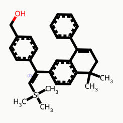 CC1(C)CC=C(c2ccccc2)c2cc(/C(=C\[Si](C)(C)C)c3ccc(CO)cc3)ccc21